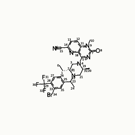 CC[C@@H]1CN(c2nc(=O)n(C)c3ccc(C#N)nc23)[C@@H](C)CN1C(C)c1ccc(C(F)(F)F)c(Br)c1